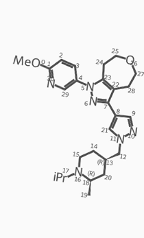 COc1ccc(-n2nc(-c3cnn(C[C@@H]4CCN(C(C)C)[C@H](C)C4)c3)c3c2CCOCC3)cn1